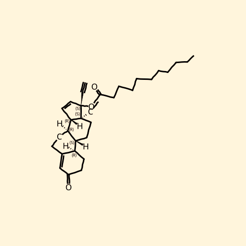 C#C[C@]1(OC(=O)CCCCCCCCCC)C=C[C@H]2[C@@H]3CCC4=CC(=O)CC[C@@H]4[C@H]3CC[C@@]21CC